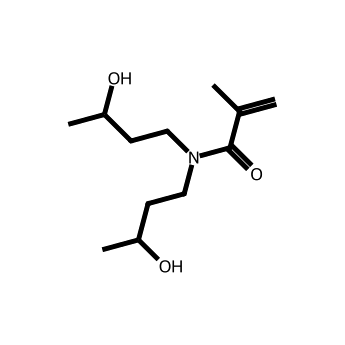 C=C(C)C(=O)N(CCC(C)O)CCC(C)O